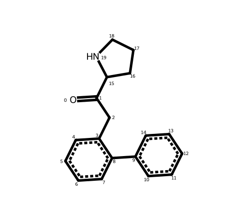 O=C(Cc1ccccc1-c1ccccc1)C1CCCN1